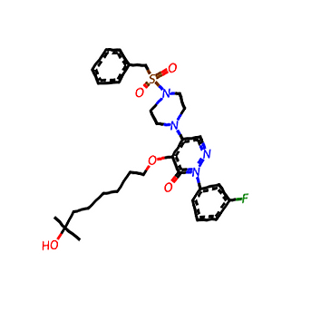 CC(C)(O)CCCCCCOc1c(N2CCN(S(=O)(=O)Cc3ccccc3)CC2)cnn(-c2cccc(F)c2)c1=O